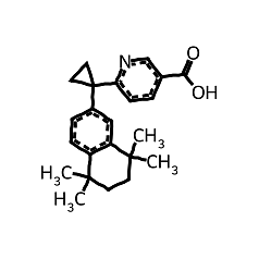 CC1(C)CCC(C)(C)c2cc(C3(c4ccc(C(=O)O)cn4)CC3)ccc21